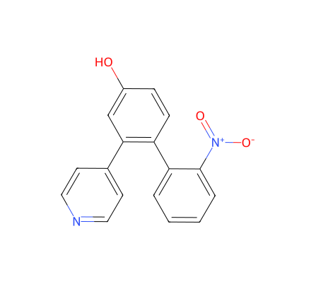 O=[N+]([O-])c1ccccc1-c1ccc(O)cc1-c1ccncc1